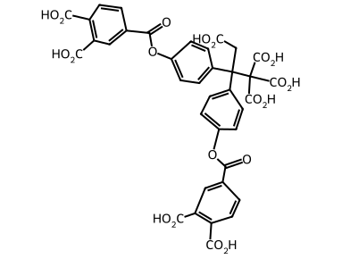 O=C(O)CC(c1ccc(OC(=O)c2ccc(C(=O)O)c(C(=O)O)c2)cc1)(c1ccc(OC(=O)c2ccc(C(=O)O)c(C(=O)O)c2)cc1)C(C(=O)O)(C(=O)O)C(=O)O